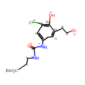 CCOC(=O)CCNC(=O)Nc1cc(Cl)c(O)c(CCO)c1